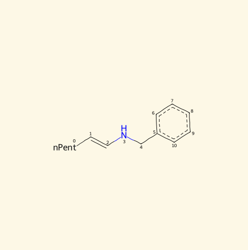 CCCCCC=CNCc1ccccc1